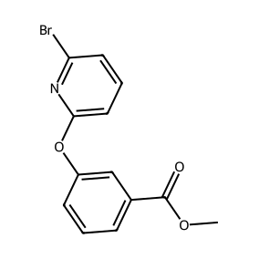 COC(=O)c1cccc(Oc2cccc(Br)n2)c1